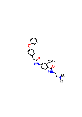 CCN(CC)CCNC(=O)c1ccc(NC(=O)Cc2ccc(Oc3ccccc3)cc2)cc1OC